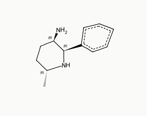 C[C@@H]1CC[C@@H](N)[C@@H](c2ccccc2)N1